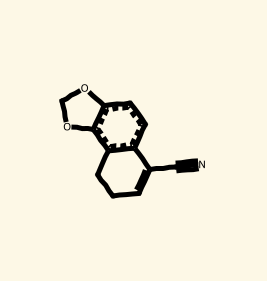 N#CC1=CCCc2c1ccc1c2OCO1